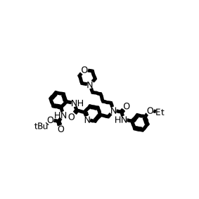 CCOc1cccc(NC(=O)N(CCCCN2CCOCC2)Cc2ccc(C(=O)Nc3ccccc3NC(=O)OC(C)(C)C)nc2)c1